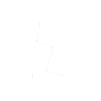 CC(F)C[C]F